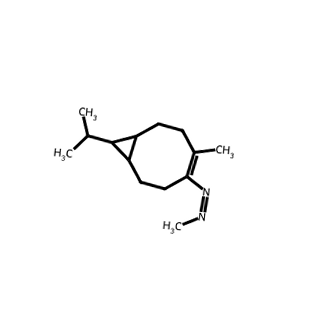 C/N=N\C1=C(/C)CCC2C(CC1)C2C(C)C